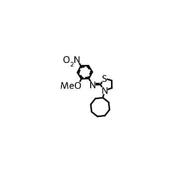 COc1cc([N+](=O)[O-])ccc1N=C1SCCN1C1CCCCCCC1